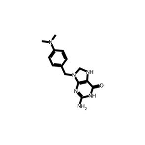 CN(C)c1ccc(CN2CNc3c2nc(N)[nH]c3=O)cc1